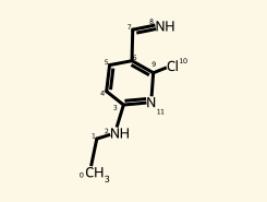 CCNc1ccc(C=N)c(Cl)n1